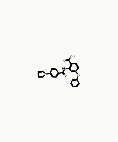 O=C(Nc1cc(Oc2ccccc2)ccc1C(=O)O)c1ccc(-n2cccc2)cc1